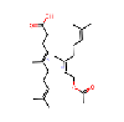 CC(=O)OC/C=C(/C)CCC=C(C)C.CC(C)=CCC/C(C)=C/CCC(=O)O